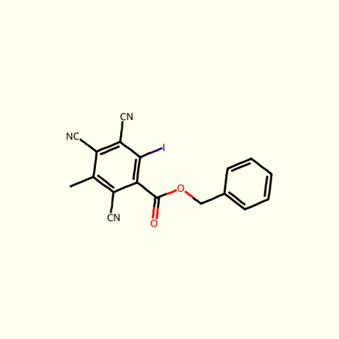 Cc1c(C#N)c(C#N)c(I)c(C(=O)OCc2ccccc2)c1C#N